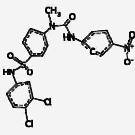 CN(C(=O)Nc1ccc([N+](=O)[O-])cc1)c1ccc(S(=O)(=O)Nc2ccc(Cl)c(Cl)c2)cc1